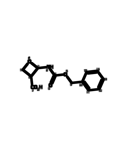 O=C(NC1OCC1C(=O)O)OCc1ccccc1